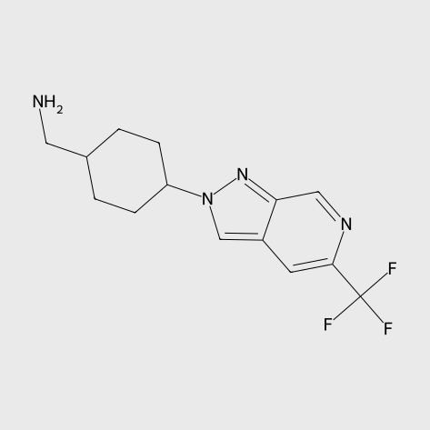 NCC1CCC(n2cc3cc(C(F)(F)F)ncc3n2)CC1